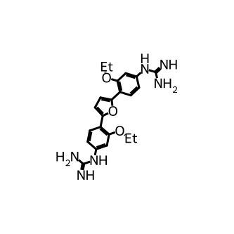 CCOc1cc(NC(=N)N)ccc1-c1ccc(-c2ccc(NC(=N)N)cc2OCC)o1